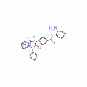 NC(=O)C(F)(C(=O)N(c1ccccc1)c1ccccc1)c1ccc(C(=O)Nc2ccccc2N)cc1